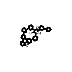 CCC1C(c2ccccc2)Nc2c(oc3ccc(-c4ccccc4)cc23)C1c1cccc(-c2cccc(-c3ccc4c(c3)c3cccc5oc6cccc4c6c53)c2)c1